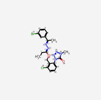 CC/C(=N\N=C(/C)c1cccc(Br)c1)OCc1c(Cl)cccc1-n1nnn(C)c1=O